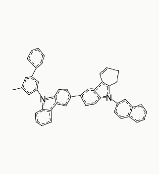 Cc1cc(-c2ccccc2)cc(-n2c3ccccc3c3cc(-c4ccc5c(c4)c4c(n5-c5ccc6ccccc6c5)CCC=C4)ccc32)c1